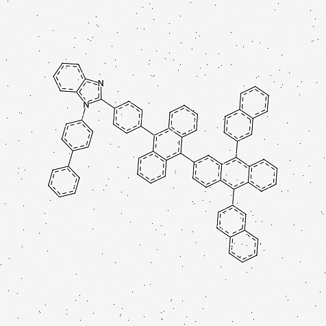 c1ccc(-c2ccc(-n3c(-c4ccc(-c5c6ccccc6c(-c6ccc7c(-c8ccc9ccccc9c8)c8ccccc8c(-c8ccc9ccccc9c8)c7c6)c6ccccc56)cc4)nc4ccccc43)cc2)cc1